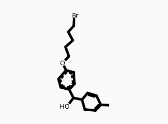 CC1=CCC(C(O)c2ccc(OCCCCCBr)cc2)C=C1